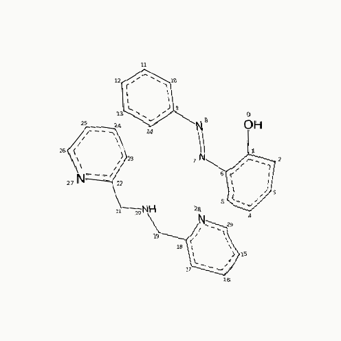 Oc1ccccc1N=Nc1ccccc1.c1ccc(CNCc2ccccn2)nc1